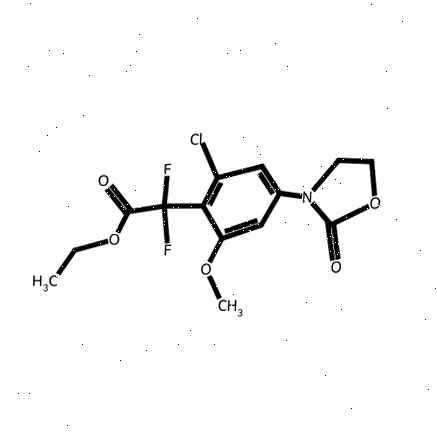 CCOC(=O)C(F)(F)c1c(Cl)cc(N2CCOC2=O)cc1OC